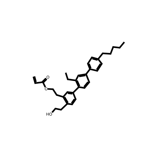 C=CC(=O)OCCc1cc(-c2ccc(-c3ccc(CCCCC)cc3)cc2CC)ccc1CCO